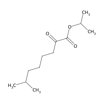 CC(C)CCCCC(=O)C(=O)OC(C)C